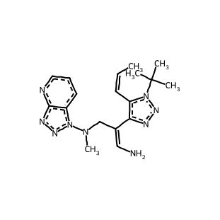 C/C=C\c1c(/C(=C\N)CN(C)n2nnc3ncccc32)nnn1C(C)(C)C